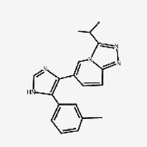 Cc1cccc(-c2[nH]cnc2-c2ccc3nnc(C(C)C)n3c2)c1